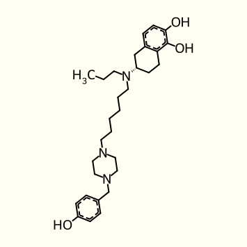 CCCN(CCCCCCN1CCN(Cc2ccc(O)cc2)CC1)[C@H]1CCc2c(ccc(O)c2O)C1